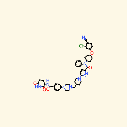 N#Cc1ccc(OC2CCC(N(C(=O)c3ccc(N4CCC(CN5CCN(c6ccc(C(=O)NC7CCC(=O)NC7=O)cc6)CC5)CC4)nn3)c3ccccc3)CC2)cc1Cl